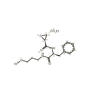 CCOCCCNC(=O)[C@H](Cc1ccccc1)NC(=O)[C@H]1O[C@@H]1C(=O)OCC